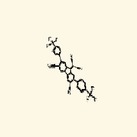 N#CC(C#N)=C1c2cc(-c3ccc(C(F)(F)F)cc3)c(C#N)cc2-c2cc(C#N)c(-c3ccc(C(F)(F)F)cc3)cc21